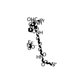 CC(C)C(C=O)NC(=O)C(C(=O)N1CCCC1)C(C)(C)OC(=O)NCCOCCOCCOCCC(=O)NCCC(=O)OCCC[N+](C)(C)C.O=C([O-])C(F)(F)F